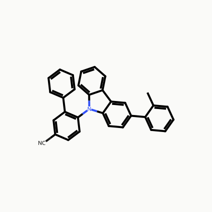 Cc1ccccc1-c1ccc2c(c1)c1ccccc1n2-c1ccc(C#N)cc1-c1ccccc1